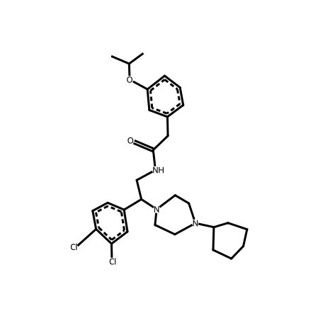 CC(C)Oc1cccc(CC(=O)NCC(c2ccc(Cl)c(Cl)c2)N2CCN(C3CCCCC3)CC2)c1